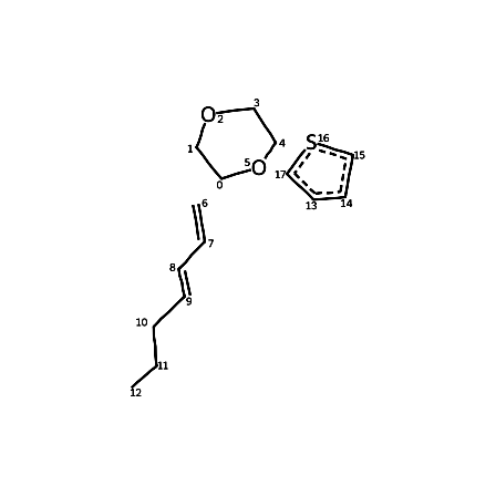 C1COCCO1.C=CC=CCCC.c1ccsc1